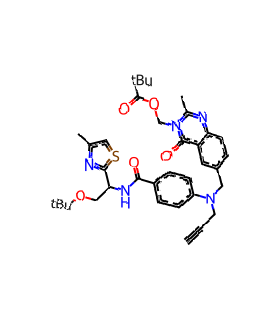 C#CCN(Cc1ccc2nc(C)n(COC(=O)C(C)(C)C)c(=O)c2c1)c1ccc(C(=O)NC(COC(C)(C)C)c2nc(C)cs2)cc1